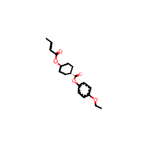 C/C=C/C(=O)O[C@H]1CC[C@H](C(=O)Oc2ccc(OCC)cc2)CC1